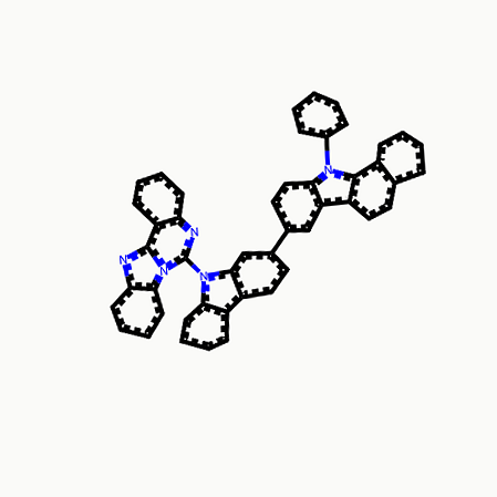 c1ccc(-n2c3ccc(-c4ccc5c6ccccc6n(-c6nc7ccccc7c7nc8ccccc8n67)c5c4)cc3c3ccc4ccccc4c32)cc1